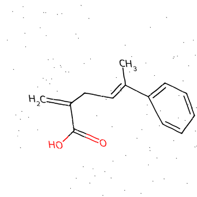 C=C(CC=C(C)c1ccccc1)C(=O)O